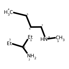 CCC(N)CC.CCCCNC